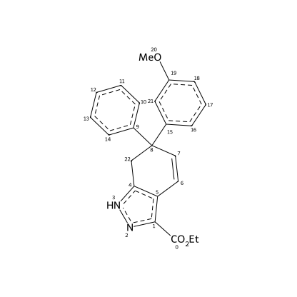 CCOC(=O)c1n[nH]c2c1C=CC(c1ccccc1)(c1cccc(OC)c1)C2